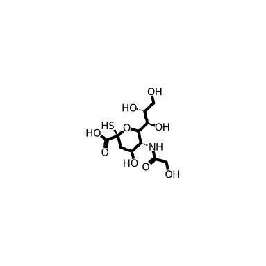 O=C(CO)N[C@@H]1C(O)C[C@](S)(C(=O)O)OC1[C@H](O)[C@H](O)CO